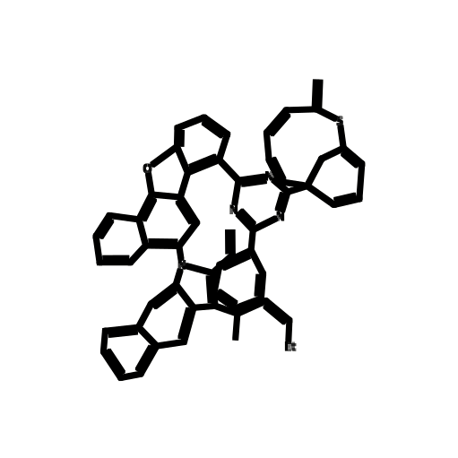 C=Cc1c(C(C)/C=C\CC)c2cc3ccccc3cc2n1-c1cc2c(oc3cccc(-c4nc(-c5ccccc5)nc(C56C=CC=C(C5)SC(=C)/C=C\C=C/6)n4)c32)c2ccccc12